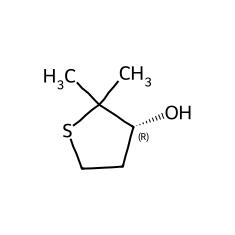 CC1(C)SCC[C@H]1O